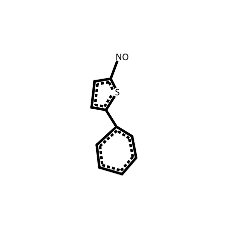 O=Nc1ccc(-c2ccccc2)s1